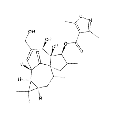 Cc1noc(C)c1C(=O)O[C@H]1C(C)C[C@]23C(=O)[C@@H](C=C(CO)[C@@H](O)[C@]12O)[C@H]1[C@@H](C[C@H]3C)C1(C)C